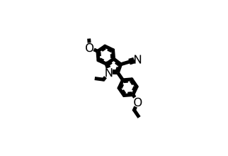 CCOc1ccc(-c2c(C#N)c3ccc(OC)cc3n2CC)cc1